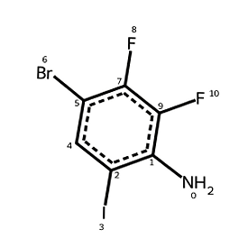 Nc1c(I)cc(Br)c(F)c1F